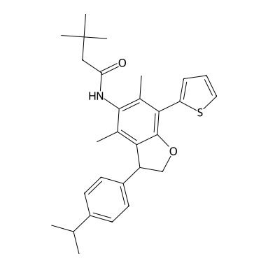 Cc1c(NC(=O)CC(C)(C)C)c(C)c2c(c1-c1cccs1)OCC2c1ccc(C(C)C)cc1